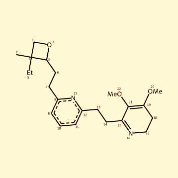 CCC1(C)COC1CCc1cccc(CCC2=NCCC(OC)=C2OC)n1